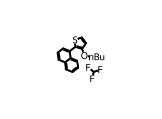 CCCCOc1ccsc1-c1cccc2ccccc12.FC(F)F